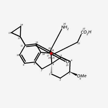 CO[C@H]1CC[C@]2(CC1)Cc1ccc(C3CC3)cc1C21N=C(N)N(CC(=O)O)C1=O